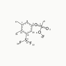 CS(=O)(=O)OF.Cc1cccc([S+](F)F)c1C